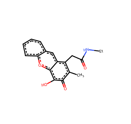 CCNC(=O)Cc1c2cc3ccccc3oc-2c(O)c(=O)c1C